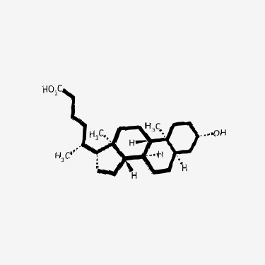 C[C@H](CCCC(=O)O)[C@H]1CC[C@H]2[C@@H]3CC[C@@H]4C[C@@H](O)CC[C@]4(C)[C@H]3CC[C@]12C